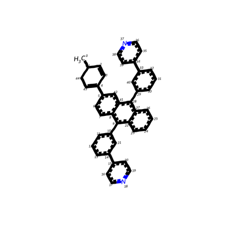 CC1C=CC(c2ccc3c(-c4cccc(-c5ccncc5)c4)c4ccccc4c(-c4cccc(-c5ccncc5)c4)c3c2)=CC1